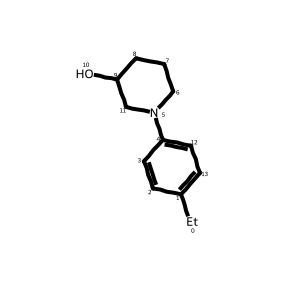 CCc1ccc(N2CCCC(O)C2)cc1